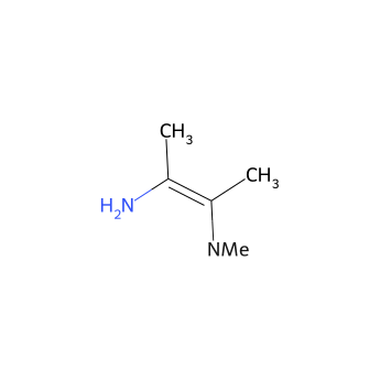 CNC(C)=C(C)N